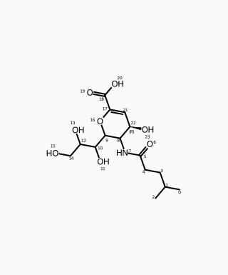 CC(C)CCC(=O)NC1C(C(O)C(O)CO)OC(C(=O)O)=C[C@H]1O